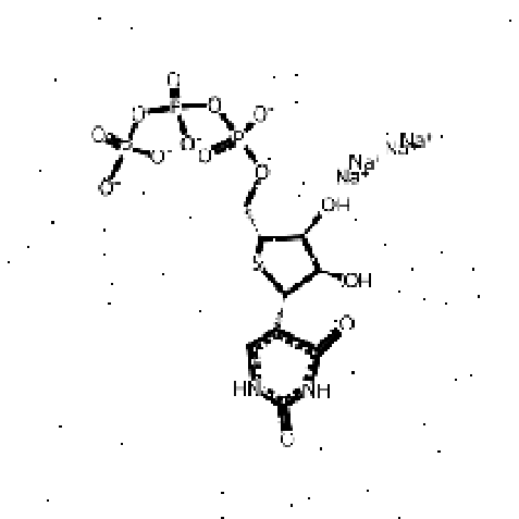 O=c1[nH]cc([C@@H]2S[C@H](COP(=O)([O-])OP(=O)([O-])OP(=O)([O-])[O-])[C@@H](O)[C@H]2O)c(=O)[nH]1.[Na+].[Na+].[Na+].[Na+]